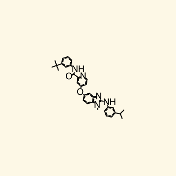 CC(C)c1cccc(Nc2nc3cc(Oc4ccnc(C(=O)Nc5cccc(C(C)(C)C)c5)c4)ccc3n2C)c1